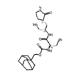 CC(C)C[C@H](NC(=O)OCC12CC3CC(CC(C3)C1)C2)C(=O)N[C@H](CO)C[C@@H]1CCNC1=O